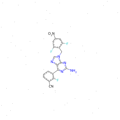 N#Cc1cccc(-c2nc(N)nc3c2ncn3Cc2c(F)cc([N+](=O)[O-])cc2F)c1F